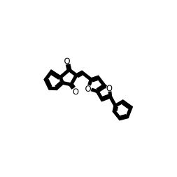 O=C1C(=Cc2cc3oc(-c4ccccc4)cc3o2)C(=O)c2ccccc21